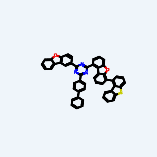 c1c(-c2nc(-c3ccc(-c4ccccc4)cc3)nc(-c3cccc4oc5c(-c6cccc7sc8ccccc8c67)cccc5c34)n2)cc2c(c#1)oc1ccccc12